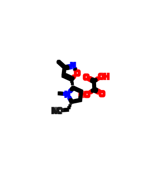 Cc1cc([C@@H]2CC[C@H](CC#N)N2C)on1.O=C(O)C(=O)O